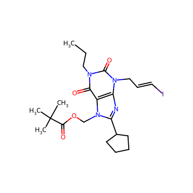 CCCn1c(=O)c2c(nc(C3CCCC3)n2COC(=O)C(C)(C)C)n(CC=CI)c1=O